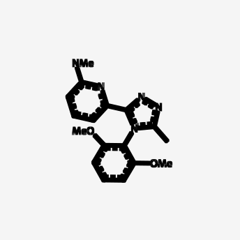 CNc1cccc(-c2nnc(C)n2-c2c(OC)cccc2OC)n1